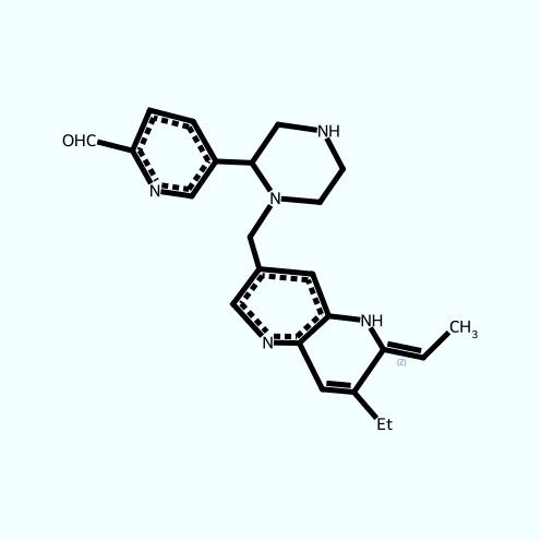 C/C=C1\Nc2cc(CN3CCNCC3c3ccc(C=O)nc3)cnc2C=C1CC